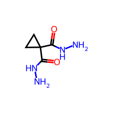 NNC(=O)C1(C(=O)NN)CC1